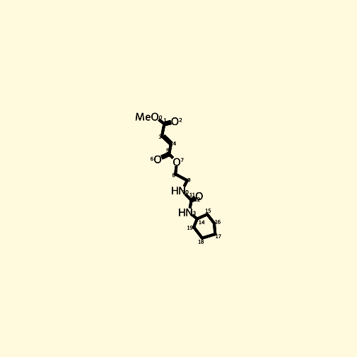 COC(=O)/C=C/C(=O)OCCNC(=O)NC1CCCCC1